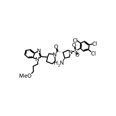 COCCCn1c(C2CCCN(C(=O)[C@@H]3CN(S(=O)(=O)c4cc(Cl)c(Cl)cc4Cl)C[C@H]3N)C2)nc2ccccc21